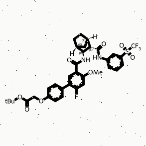 COc1cc(F)c(-c2ccc(OCC(=O)OC(C)(C)C)cc2)cc1C(=O)N[C@@H]1[C@H]2CC[C@H](C2)[C@@H]1C(=O)Nc1cccc(S(=O)(=O)C(F)(F)F)c1